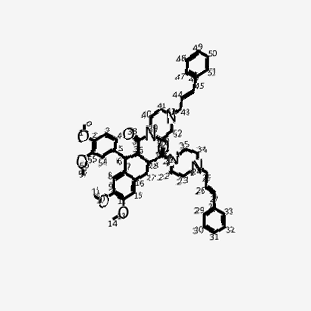 COc1ccc(C2c3cc(OC)c(OC)cc3CC(C(=O)N3CCN(CC=Cc4ccccc4)CC3)C2C(=O)N2CCN(CC=Cc3ccccc3)CC2)cc1OC